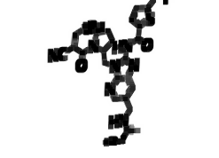 C[C@H](NCc1cnc2c(c1)nc(NC(=O)c1ccc(C(F)F)s1)n2CC1CCCN1C(=O)C(C#N)=CC(C)(C)C)C(C)(C)C